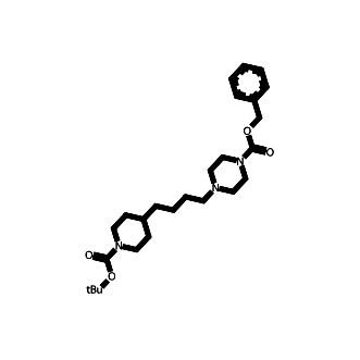 CC(C)(C)OC(=O)N1CCC(CCCCN2CCN(C(=O)OCc3ccccc3)CC2)CC1